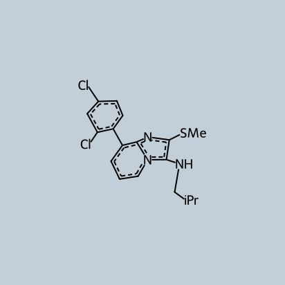 CSc1nc2c(-c3ccc(Cl)cc3Cl)cccn2c1NCC(C)C